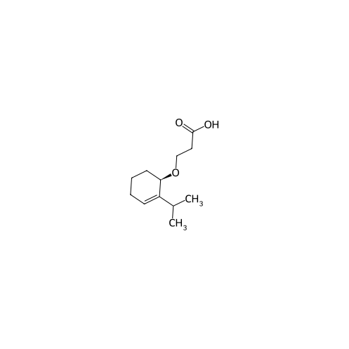 CC(C)C1=CCCC[C@H]1OCCC(=O)O